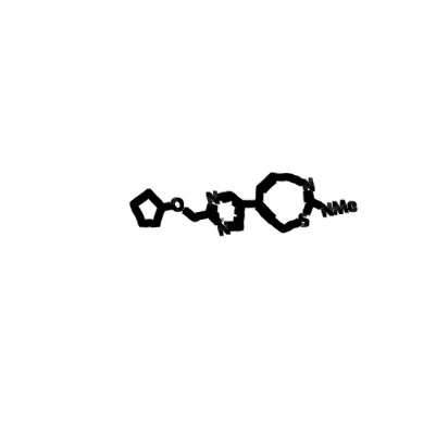 CN/C1=N/C/C=C\C(c2cnc(COC3CCCC3)nc2)=C/CS1